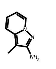 Cc1c(N)nn2ccccc12